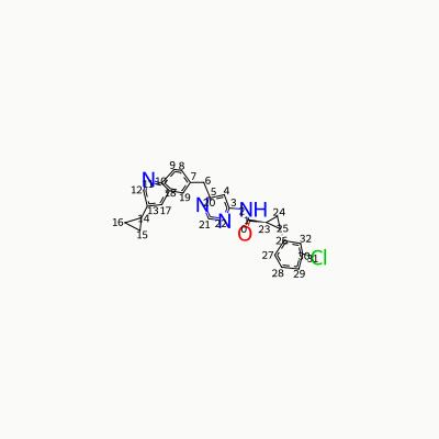 O=C(Nc1cc(Cc2ccc3ncc(C4CC4)cc3c2)ncn1)[C@H]1C[C@@H]1c1cccc(Cl)c1